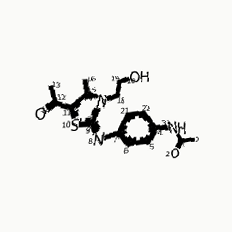 CC(=O)Nc1ccc(/N=c2/sc(C(C)=O)c(C)n2CCO)cc1